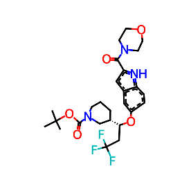 CC(C)(C)OC(=O)N1CCC[C@H](C(CC(F)(F)F)Oc2ccc3[nH]c(C(=O)N4CCOCC4)cc3c2)C1